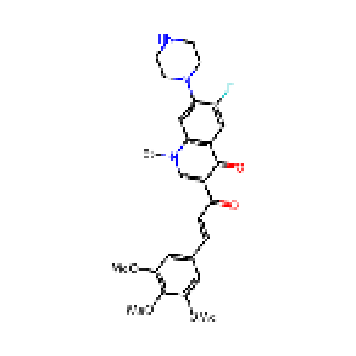 CCn1cc(C(=O)/C=C/c2cc(OC)c(OC)c(OC)c2)c(=O)c2cc(F)c(N3CCNCC3)cc21